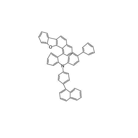 c1ccc(-c2ccc(N(c3ccc(-c4cccc5ccccc45)cc3)c3ccccc3-c3cccc4ccc5c6ccccc6oc5c34)cc2)cc1